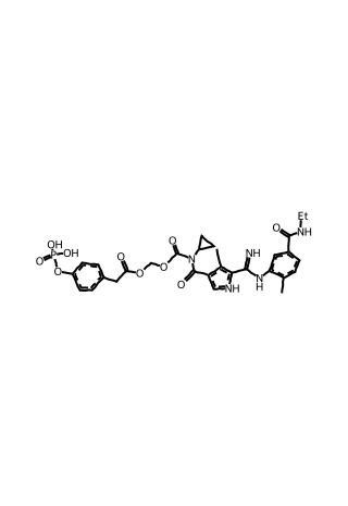 CCNC(=O)c1ccc(C)c(NC(=N)c2[nH]cc(C(=O)N(C(=O)OCOC(=O)Cc3ccc(OP(=O)(O)O)cc3)C3CC3)c2C)c1